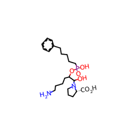 NCCCCC(OP(=O)(O)CCCCCc1ccccc1)C(O)N1CCC[C@H]1C(=O)O